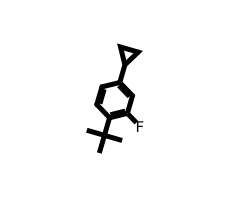 CC(C)(C)c1ccc(C2CC2)cc1F